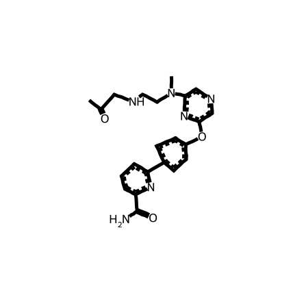 CC(=O)CNCCN(C)c1cncc(Oc2ccc(-c3cccc(C(N)=O)n3)cc2)n1